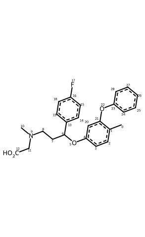 Cc1ccc(OC(CCN(C)CC(=O)O)c2ccc(F)cc2)cc1Oc1ccccc1